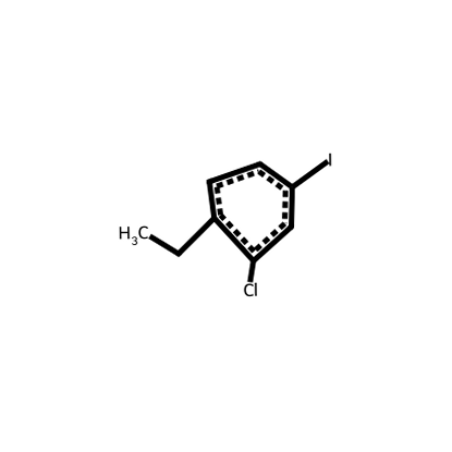 CCc1ccc(I)cc1Cl